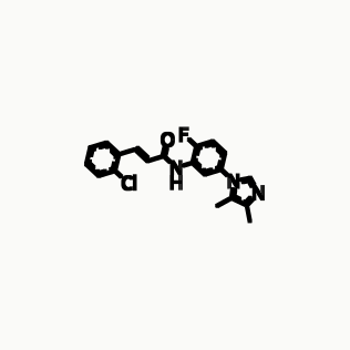 Cc1ncn(-c2ccc(F)c(NC(=O)/C=C/c3ccccc3Cl)c2)c1C